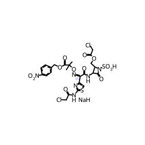 CC(C)(O/N=C(\C(=O)NC1C(=O)N(S(=O)(=O)O)C1COC(=O)CCl)c1csc(NC(=O)CCl)n1)C(=O)OCc1ccc([N+](=O)[O-])cc1.[NaH]